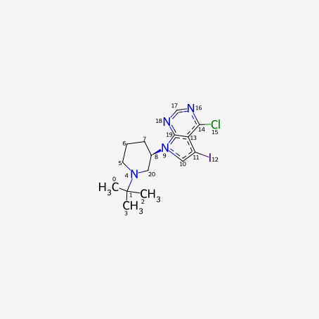 CC(C)(C)N1CCC[C@@H](n2cc(I)c3c(Cl)ncnc32)C1